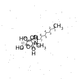 CCCCCCCCC(=O)N(C)[C@H]1C(O)O[C@H](CO)[C@@H](O)[C@@H]1O